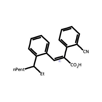 CCCCCC(CC)c1ccccc1/C=C(/C(=O)O)c1ccccc1C#N